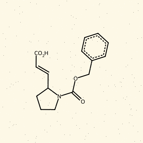 O=C(O)/C=C/C1CCCN1C(=O)OCc1ccccc1